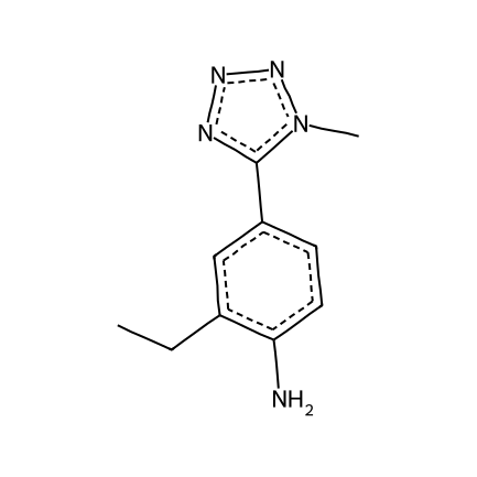 CCc1cc(-c2nnnn2C)ccc1N